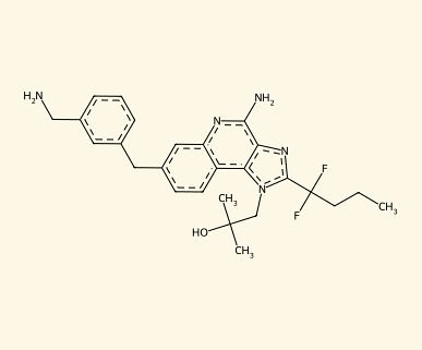 CCCC(F)(F)c1nc2c(N)nc3cc(Cc4cccc(CN)c4)ccc3c2n1CC(C)(C)O